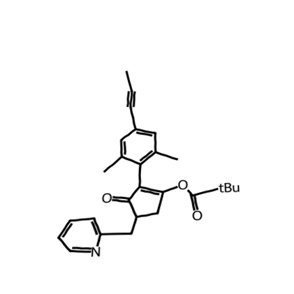 CC#Cc1cc(C)c(C2=C(OC(=O)C(C)(C)C)CC(Cc3ccccn3)C2=O)c(C)c1